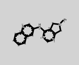 CC(C)N1Cc2ncnc(Nc3cnc4ccccc4c3)c2C1